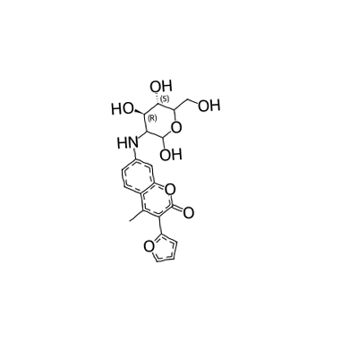 Cc1c(-c2ccco2)c(=O)oc2cc(NC3C(O)OC(CO)[C@@H](O)[C@@H]3O)ccc12